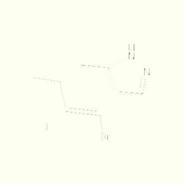 Cc1cc2[nH]ncc2c(Br)c1I